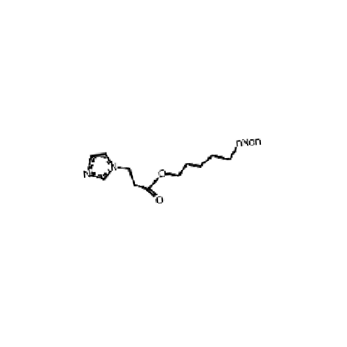 CCCCCCCCCCCCCCOC(=O)CCn1ccnc1